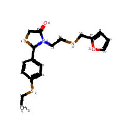 CCSc1ccc(C2SCC(=O)N2CCSCc2ccco2)cc1